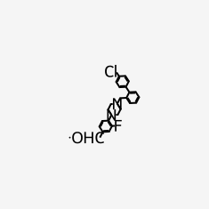 O=[C]c1ccc(N2CCN(Cc3ccccc3-c3ccc(Cl)cc3)CC2)c(F)c1